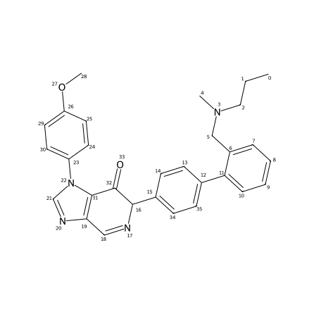 CCCN(C)Cc1ccccc1-c1ccc(C2N=Cc3ncn(-c4ccc(OC)cc4)c3C2=O)cc1